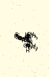 CC1(C)C[C@@H](C[C@@H](C#N)NC(=O)[C@@H]2[C@@H]3[C@H](CN2C(=O)COc2ccc(OC(F)(F)F)cc2)C3(C)C)C(=O)N1